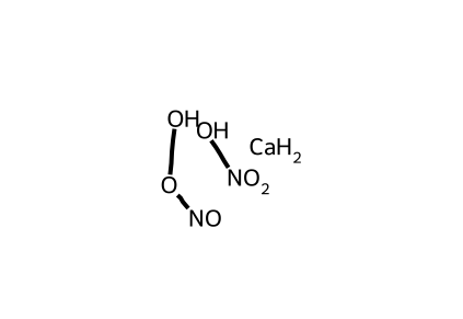 O=NOO.O=[N+]([O-])O.[CaH2]